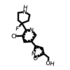 OCc1cc(-c2cnc(C3(F)CCNCC3)c(Cl)c2)no1